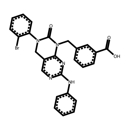 O=C(O)c1cccc(CN2C(=O)N(c3ccccc3Br)Cc3cnc(Nc4ccccc4)nc32)c1